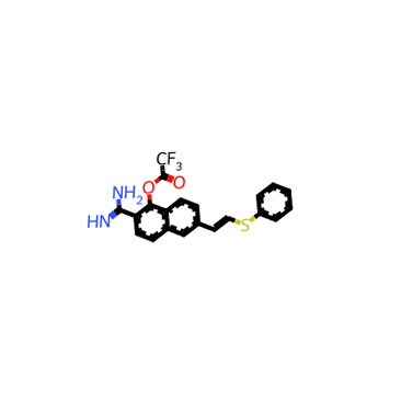 N=C(N)c1ccc2cc(/C=C/Sc3ccccc3)ccc2c1OC(=O)C(F)(F)F